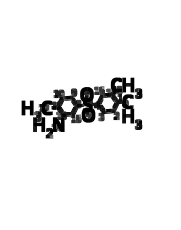 Cc1ccc(S(=O)(=O)c2ccc(C)c(N)c2)cc1C